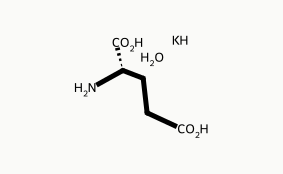 N[C@@H](CCC(=O)O)C(=O)O.O.[KH]